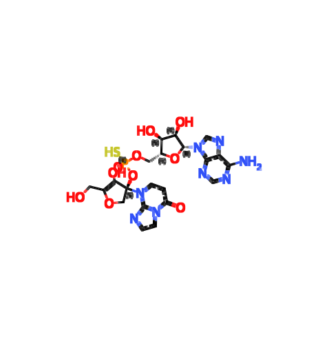 Nc1ncnc2c1ncn2[C@@H]1O[C@H](CO[P@@](=O)(S)O[C@@]2(n3ccc(=O)n4ccnc34)COC(CO)=C2O)[C@@H](O)[C@H]1O